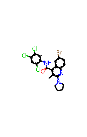 Cc1c(N2CCCC2)nc2ccc(Br)cc2c1C(=O)Nc1[c]c(Cl)c(Cl)cc1Cl